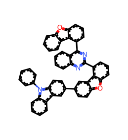 c1ccc(-n2c3ccccc3c3cc(-c4ccc5oc6cccc(-c7nc(-c8cccc9oc%10ccccc%10c89)c8ccccc8n7)c6c5c4)ccc32)cc1